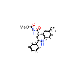 COC(=O)NC(=O)[C@@H]1C[C@H](c2ccccc2)Nc2ccc(C(F)(F)F)cc21